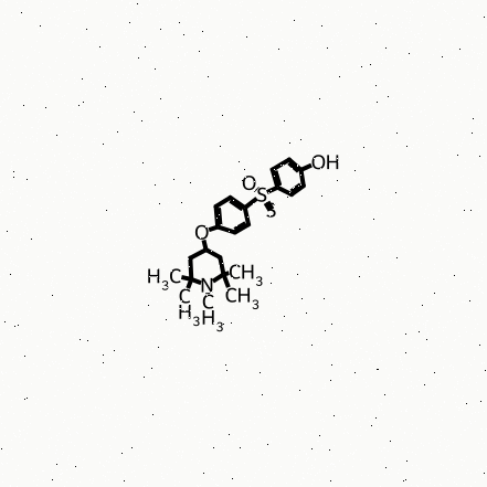 CN1C(C)(C)CC(Oc2ccc(S(=O)(=S)c3ccc(O)cc3)cc2)CC1(C)C